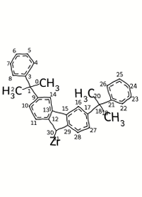 CC(C)(c1ccccc1)c1ccc2c(c1)-c1cc(C(C)(C)c3ccccc3)ccc1[CH]2[Zr]